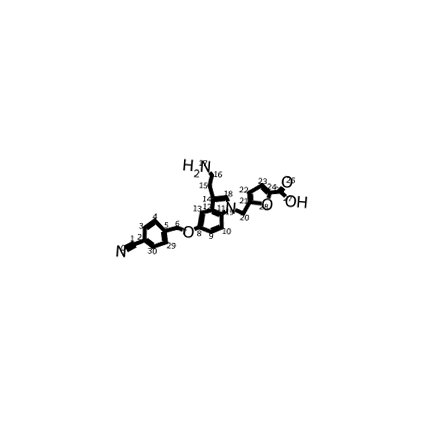 N#Cc1ccc(COc2ccc3c(c2)c(CCN)cn3Cc2ccc(C(=O)O)o2)cc1